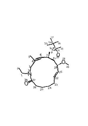 CCN1C/C(C)=C\[C@@H](C)[C@H](O[Si](C)(C)C(C)(C)C)[C@@H](OC)/C=C/CCCCC1=O